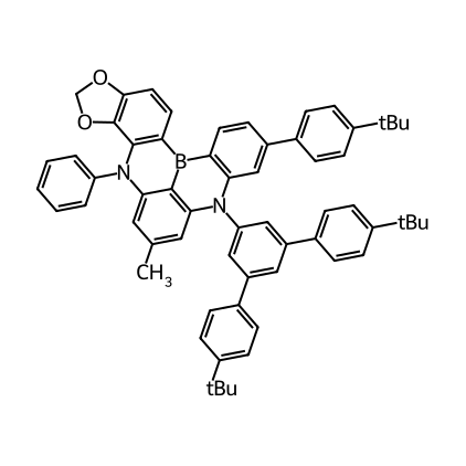 Cc1cc2c3c(c1)N(c1ccccc1)c1c(ccc4c1OCO4)B3c1ccc(-c3ccc(C(C)(C)C)cc3)cc1N2c1cc(-c2ccc(C(C)(C)C)cc2)cc(-c2ccc(C(C)(C)C)cc2)c1